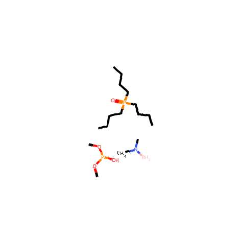 BN(C)C.C.CCCCP(=O)(CCCC)CCCC.COP(O)OC